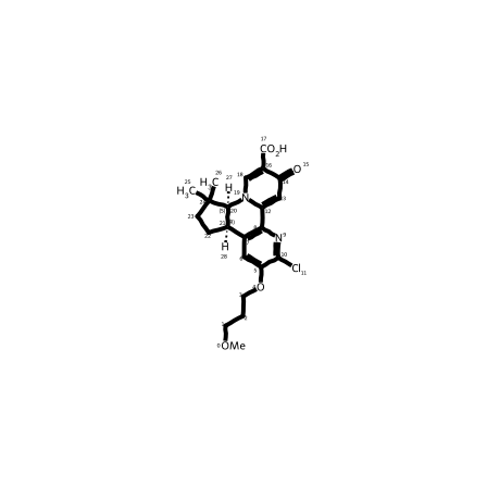 COCCCOc1cc2c(nc1Cl)-c1cc(=O)c(C(=O)O)cn1[C@H]1[C@@H]2CCC1(C)C